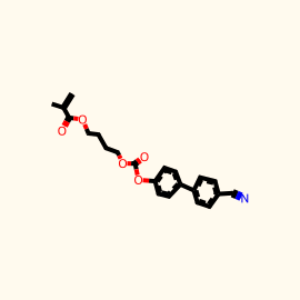 C=C(C)C(=O)OCCCCOC(=O)Oc1ccc(-c2ccc(C#N)cc2)cc1